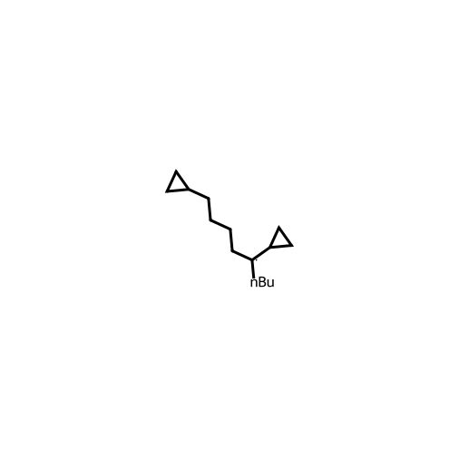 CCCC[C](CCCCC1CC1)C1CC1